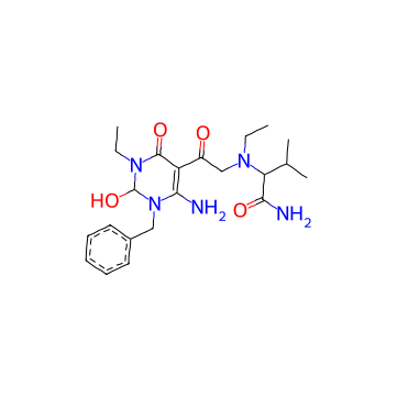 CCN(CC(=O)C1=C(N)N(Cc2ccccc2)C(O)N(CC)C1=O)C(C(N)=O)C(C)C